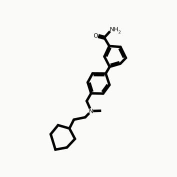 CN(CCC1CCCCC1)Cc1ccc(-c2cccc(C(N)=O)c2)cc1